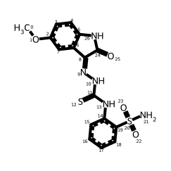 COc1ccc2c(c1)C(=NNC(=S)Nc1ccccc1S(N)(=O)=O)C(=O)N2